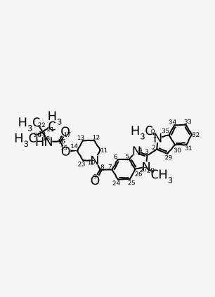 Cn1c(-c2nc3cc(C(=O)N4CCC[C@H](OC(=O)NC(C)(C)C)C4)ccc3n2C)cc2ccccc21